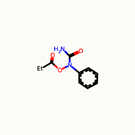 CCC(=O)ON(C(N)=O)c1ccccc1